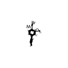 CC#Cc1cc[c]([Mg][Br])c(OC)c1